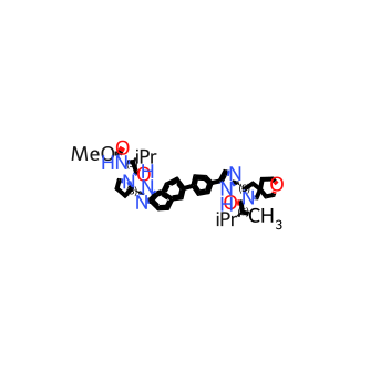 COC(=O)N[C@H](C(=O)N1CCC[C@H]1c1nc2ccc3cc(-c4ccc(-c5cnc([C@@H]6CC7(CCOCC7)CN6C(=O)[C@@H](C)C(C)C)[nH]5)cc4)ccc3c2[nH]1)C(C)C